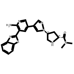 CN(C)C(=O)[C@H]1C[C@H](n2cc(-c3cnc(N)c(-c4nc5ccccc5s4)c3)cn2)CN1